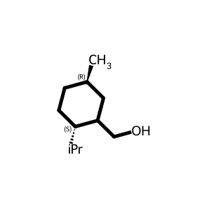 CC(C)[C@@H]1CC[C@@H](C)CC1CO